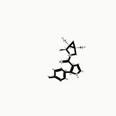 [CH2][C@H]1[C@H]2C[C@H]2CN1C(=O)c1ccsc1-c1ccc(C)cc1